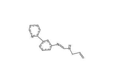 C=CCN/C=N/c1cccc(-c2ccccn2)c1